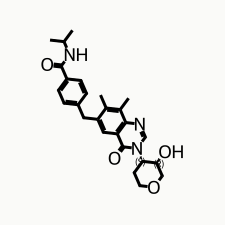 Cc1c(Cc2ccc(C(=O)NC(C)C)cc2)cc2c(=O)n([C@H]3CCOC[C@@H]3O)cnc2c1C